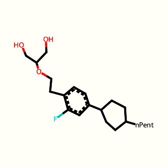 CCCCCC1CCC(c2ccc(CCOC(CO)CO)c(F)c2)CC1